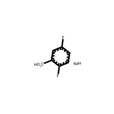 O=C(O)c1cc(F)ccc1F.[NaH]